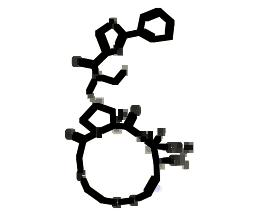 C[C@H]1/C=C\CCCCCCC(=O)N2C[C@H](CN(CI)C(=O)c3csc(-c4ccccc4)n3)C[C@H]2C(=O)N[C@@]1(F)C(=O)O